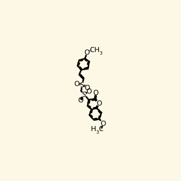 COc1ccc(/C=C/S(=O)(=O)CS(=O)(=O)c2cc3ccc(OC)cc3oc2=O)cc1